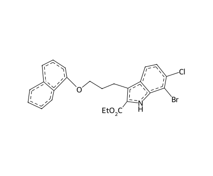 CCOC(=O)c1[nH]c2c(Br)c(Cl)ccc2c1CCCOc1cccc2ccccc12